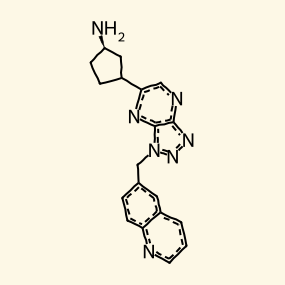 N[C@@H]1CCC(c2cnc3nnn(Cc4ccc5ncccc5c4)c3n2)C1